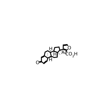 CC(=O)[C@@]1(c2ccoc2C(=O)O)CC[C@H]2[C@@H]3CCC4=CC(=O)C=C[C@]4(C)[C@H]3CC[C@@]21C